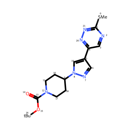 CSc1ncc(-c2cnn(C3CCN(C(=O)OC(C)(C)C)CC3)c2)nn1